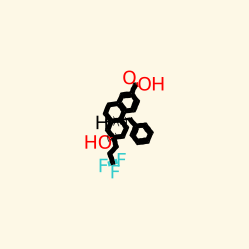 O=C(O)c1ccc2c(c1)CC[C@@H]1C[C@@](O)(CCC(F)(F)F)CC[C@@]21Cc1ccccc1